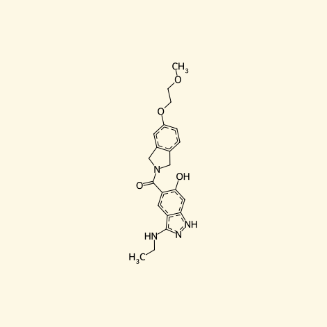 CCNc1n[nH]c2cc(O)c(C(=O)N3Cc4ccc(OCCOC)cc4C3)cc12